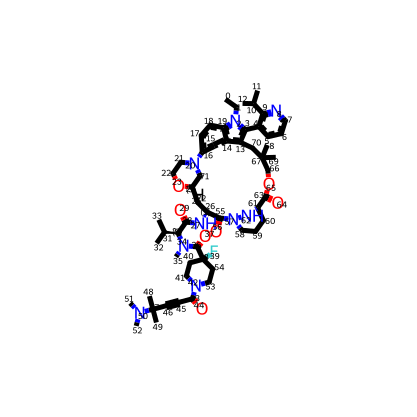 CCn1c(-c2cccnc2C(C)C)c2c3cc(ccc31)N1CCO[C@@H](C[C@H](NC(=O)[C@H](C(C)C)N(C)C(=O)C3(F)CCN(C(=O)C#CC(C)(C)N(C)C)CC3)C(=O)N3CCCC(N3)C(=O)OCC(C)(C)C2)C1